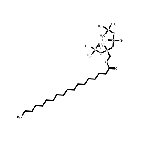 CCCCCCCCCCCCCCCCCC(=O)OC[Si](C)(O[Si](C)(C)C)O[Si](C)(C)O[Si](C)(C)C